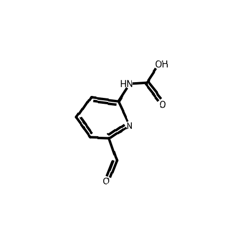 O=Cc1cccc(NC(=O)O)n1